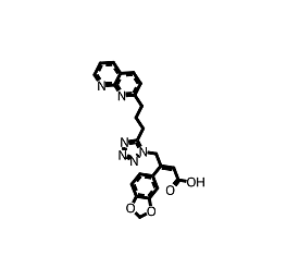 O=C(O)C=C(Cn1nnnc1CCCc1ccc2cccnc2n1)c1ccc2c(c1)OCO2